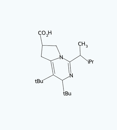 CC(C)C(C)C1=NC(C(C)(C)C)C(C(C)(C)C)=C2CC(C(=O)O)CN12